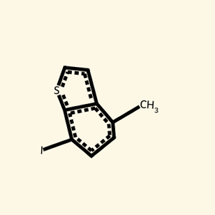 Cc1ccc(I)c2sccc12